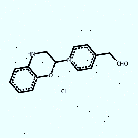 O=CCc1cc[n+](C2CNc3ccccc3O2)cc1.[Cl-]